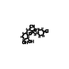 N#CC(=Cc1ccc(O)c(O)c1)S(=O)(=O)Cc1ccc(Cl)cc1